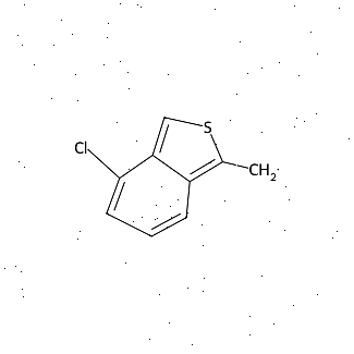 [CH2]c1scc2c(Cl)cccc12